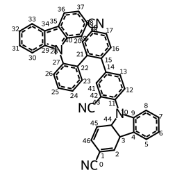 N#CC1=CC2c3ccccc3N(c3ccc(-c4ccc(C#N)cc4-c4ccccc4-n4c5ccccc5c5ccccc54)cc3C#N)C2C=C1